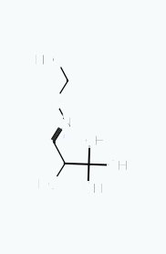 CCO/N=C/C(C)C(C)(C)C